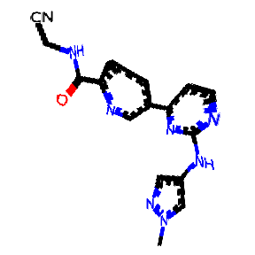 Cn1cc(Nc2nccc(-c3ccc(C(=O)NCC#N)nc3)n2)cn1